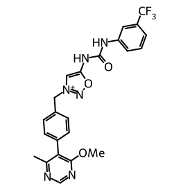 COc1ncnc(C)c1-c1ccc(C[n+]2cc(NC(=O)Nc3cccc(C(F)(F)F)c3)on2)cc1